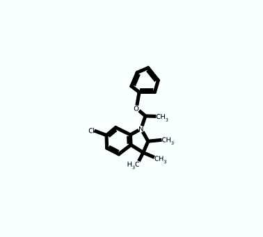 CC(Oc1ccccc1)N1c2cc(Cl)ccc2C(C)(C)C1C